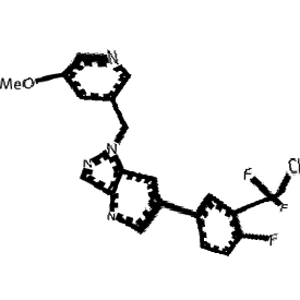 COc1cncc(Cn2ncc3ncc(-c4ccc(F)c(C(C)(F)F)c4)cc32)c1